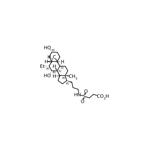 CC[C@H]1[C@@H](O)[C@@H]2[C@H](CC[C@]3(C)[C@@H](CCCNS(=O)(=O)CCC(=O)O)CC[C@@H]23)[C@@]2(C)CC[C@@H](O)C[C@@H]12